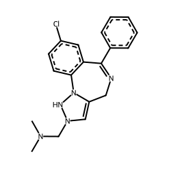 CN(C)CN1C=C2CN=C(c3ccccc3)c3cc(Cl)ccc3N2N1